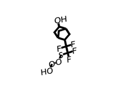 OOOSC(F)(F)C(F)(F)C1CC2CC1CC2O